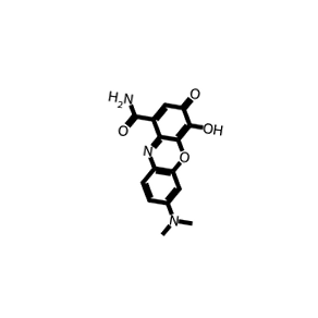 CN(C)c1ccc2nc3c(C(N)=O)cc(=O)c(O)c-3oc2c1